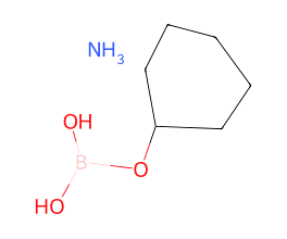 N.OB(O)OC1CCCCC1